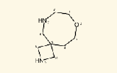 C1COCCC2(CN1)CNC2